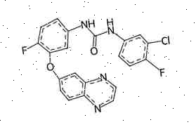 O=C(Nc1ccc(F)c(Cl)c1)Nc1ccc(F)c(Oc2ccc3nccnc3c2)c1